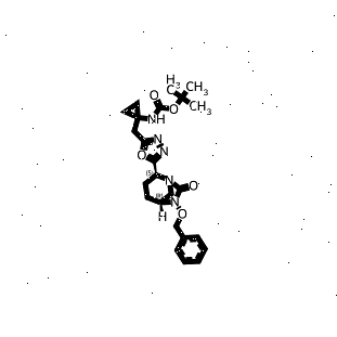 CC(C)(C)OC(=O)NC1(Cc2nnc([C@@H]3CC[C@@H]4CN3C(=O)N4OCc3ccccc3)o2)CC1